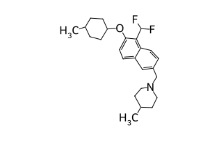 CC1CCC(Oc2ccc3cc(CN4CCC(C)CC4)ccc3c2C(F)F)CC1